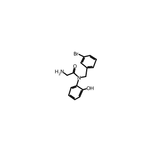 NCC(=O)N(Cc1cccc(Br)c1)c1ccccc1O